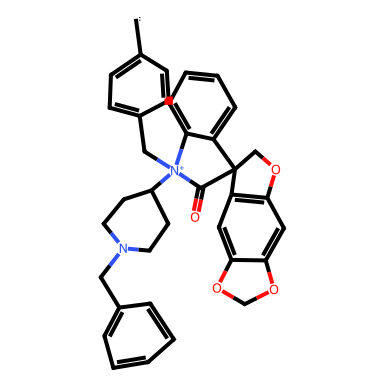 [CH]c1ccc(C[N+]2(C3CCN(Cc4ccccc4)CC3)C(=O)C3(COc4cc5c(cc43)OCO5)c3ccccc32)cc1